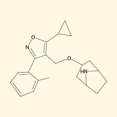 Cc1ccccc1-c1noc(C2CC2)c1COC1CC2CCC(C1)N2